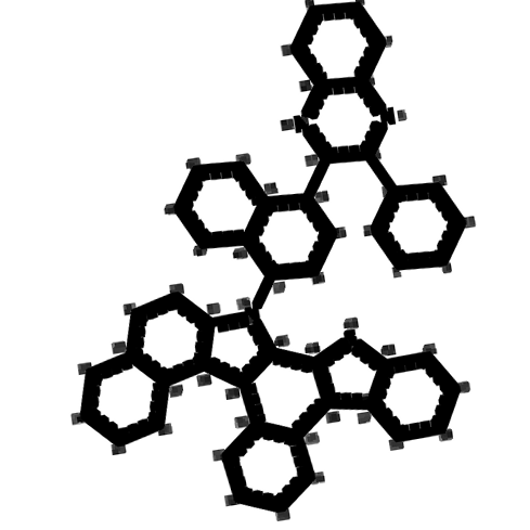 c1ccc(-c2nc3ccccc3nc2-c2ccc(-n3c4ccc5ccccc5c4c4c5ccccc5c5c6ccccc6sc5c43)c3ccccc23)cc1